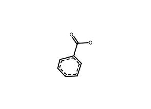 [O]C(=O)c1ccccc1